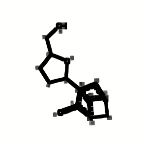 O=c1c(C2CCC(CO)O2)cn2c(=O)n1C2